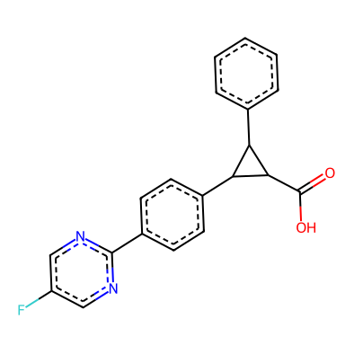 O=C(O)C1C(c2ccccc2)C1c1ccc(-c2ncc(F)cn2)cc1